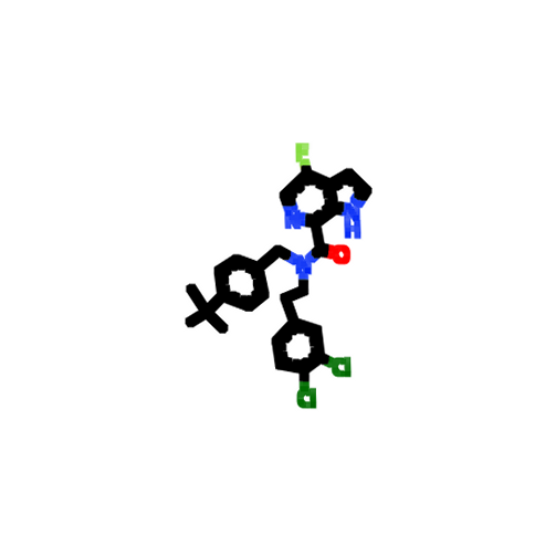 CC(C)(C)c1ccc(CN(CCc2ccc(Cl)c(Cl)c2)C(=O)c2ncc(F)c3cc[nH]c23)cc1